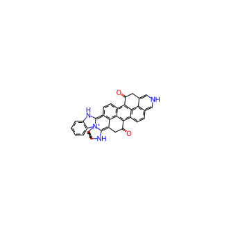 O=C1CC2=CNC=c3ccc4c5c6c7c(ccc6c1c4c32)=C1Nc2ccccc2[N+]12C(=C7CC5=O)Nc1ccccc12